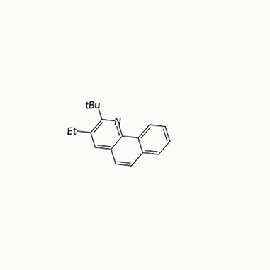 CCc1cc2ccc3ccccc3c2nc1C(C)(C)C